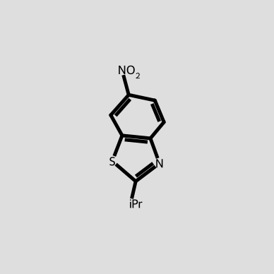 CC(C)c1nc2ccc([N+](=O)[O-])cc2s1